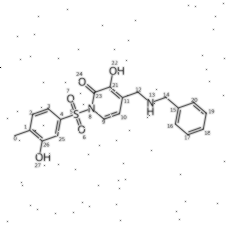 Cc1ccc(S(=O)(=O)n2ccc(CNCc3ccccc3)c(O)c2=O)cc1O